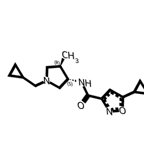 C[C@@H]1CN(CC2CC2)C[C@H]1NC(=O)c1cc(C2CC2)on1